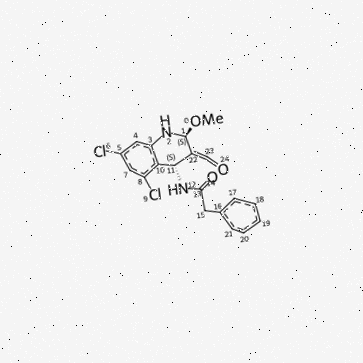 CO[C@@H]1Nc2cc(Cl)cc(Cl)c2[C@@H](NC(=O)Cc2ccccc2)C1=C=O